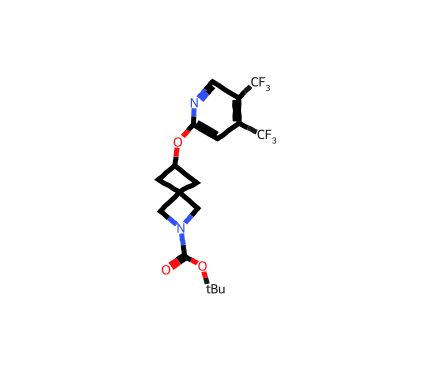 CC(C)(C)OC(=O)N1CC2(CC(Oc3cc(C(F)(F)F)c(C(F)(F)F)cn3)C2)C1